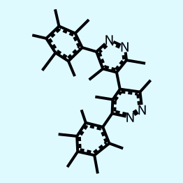 Cc1nnc(-c2c(C)c(C)c(C)c(C)c2C)c(C)c1-c1c(C)nnc(-c2c(C)c(C)c(C)c(C)c2C)c1C